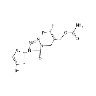 NC(=O)OCC(Cn1nnn(-c2cc(Br)cs2)c1=O)=C(F)F